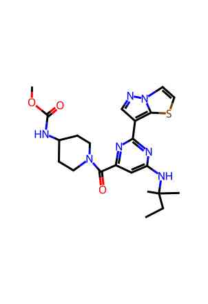 CCC(C)(C)Nc1cc(C(=O)N2CCC(NC(=O)OC)CC2)nc(-c2cnn3ccsc23)n1